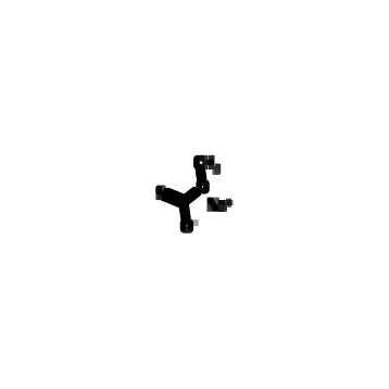 COC([O-])=S.[Na+]